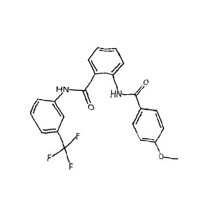 COc1ccc(C(=O)Nc2ccccc2C(=O)Nc2cccc(C(F)(F)F)c2)cc1